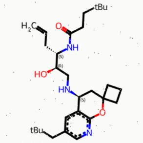 C=CC[C@H](NC(=O)CCC(C)(C)C)[C@H](O)CN[C@H]1CC2(CCC2)Oc2ncc(CC(C)(C)C)cc21